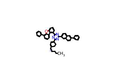 CCC/C=C\C1=CC=C(c2nc(-c3ccc4cc(-c5ccccc5)ccc4c3)nc(-c3cccc4oc5c(-c6ccccc6)cccc5c34)n2)CC1